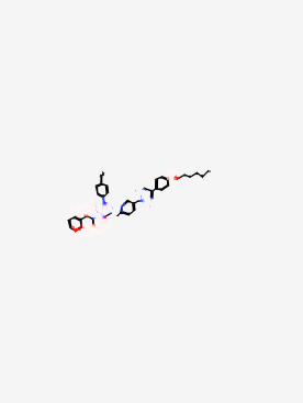 CCCCCCCOc1ccc(-c2cnc(-c3ccc(C[C@H](NC(=O)c4ccc(C(C)C)cc4)C(=O)NC(C(=O)O)C(O)c4ccccc4)cc3)nc2)cc1